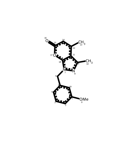 COc1cccc(Cn2nc(C)c3c(C)cc(=O)oc32)c1